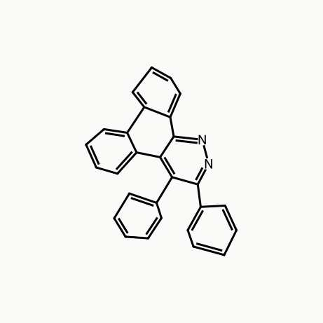 c1ccc(-c2nnc3c4ccccc4c4ccccc4c3c2-c2ccccc2)cc1